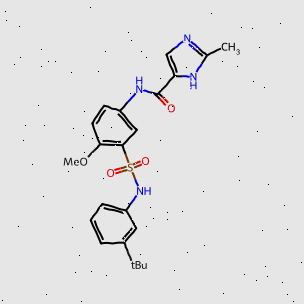 COc1ccc(NC(=O)c2cnc(C)[nH]2)cc1S(=O)(=O)Nc1cccc(C(C)(C)C)c1